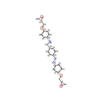 C(=Nc1ccc(OCC2CO2)cc1)c1ccc(C=Nc2ccc(OCC3CO3)cc2)cc1